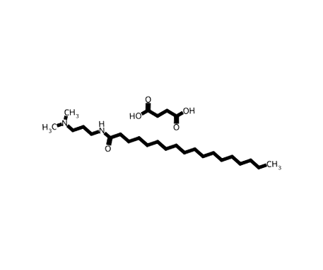 CCCCCCCCCCCCCCCCCC(=O)NCCCN(C)C.O=C(O)CCC(=O)O